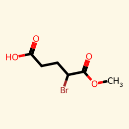 COC(=O)C(Br)CCC(=O)O